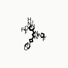 C[C@@]1(F)CCN(c2nc(-c3cnc(N)c(OC(F)F)c3)cc(C3CC(N4CCOCC4)C3)n2)C1